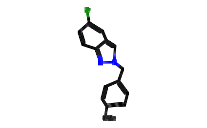 COc1ccc(Cn2cc3cc(Br)ccc3n2)cc1